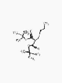 CCCCN(C(=O)OC(C)(C)C)C(=O)OC(C)(C)C